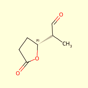 CC(C=O)[C@H]1CCC(=O)O1